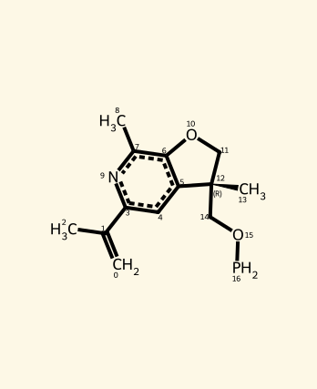 C=C(C)c1cc2c(c(C)n1)OC[C@]2(C)COP